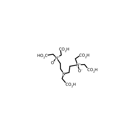 O=C(O)CN(CC[N+]([O-])(CC(=O)O)CC(=O)O)CC[N+]([O-])(CC(=O)O)CC(=O)O